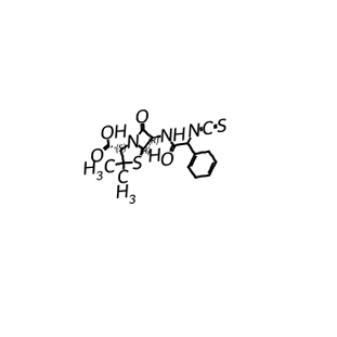 CC1(C)S[C@@H]2[C@H](NC(=O)C(N=C=S)C3=CCC=CC3)C(=O)N2[C@H]1C(=O)O